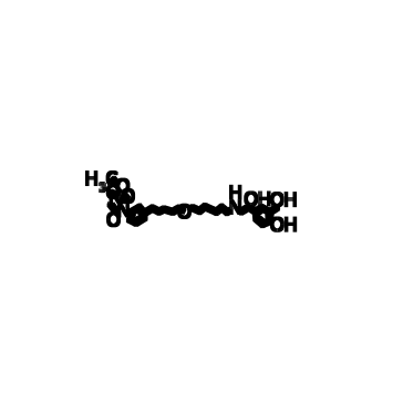 CC(=O)ON1CC(=O)N(c2cccc(CCCCCOCCCCCCNCC(O)c3ccc(O)c(CO)c3)c2)C1=O